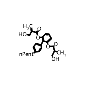 C=C(CO)C(=O)Oc1cccc(OC(=O)C(C)CO)c1-c1ccc(CCCCC)cc1